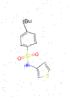 CC(C)(C)c1ccc(S(=O)(=O)Nc2ccsc2)cc1